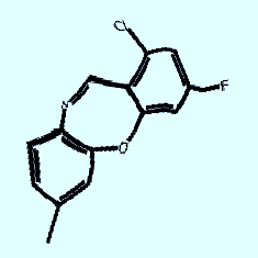 Cc1ccc2c(c1)Oc1cc(F)cc(Cl)c1C=N2